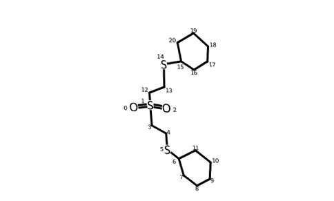 O=S(=O)(CCSC1CCCCC1)CCSC1CCCCC1